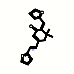 CC1(C)CC(/C=C/c2ccco2)=CC(=O)C1=Cc1ccco1